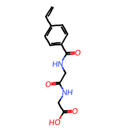 C=Cc1ccc(C(=O)NCC(=O)NCC(=O)O)cc1